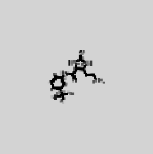 CCCc1[nH]c(=S)[nH]c1C(=O)Nc1cccc(C(F)(F)F)c1